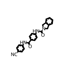 N#Cc1ccc(NC(=O)c2ccc(NC(=O)N3Cc4ccccc4C3)cc2)cc1